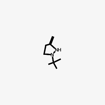 C=C1CCN(C(C)(C)C)N1